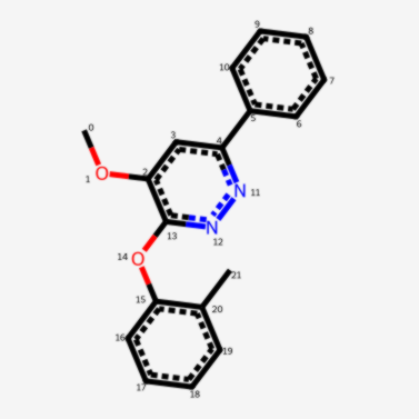 COc1cc(-c2ccccc2)nnc1Oc1ccccc1C